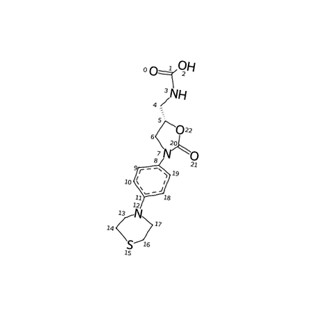 O=C(O)NC[C@H]1CN(c2ccc(N3CCSCC3)cc2)C(=O)O1